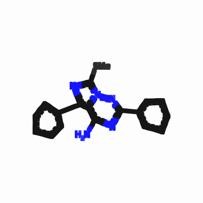 CSc1nc(-c2ccccc2)c2c(N)nc(-c3ccccc3)nn12